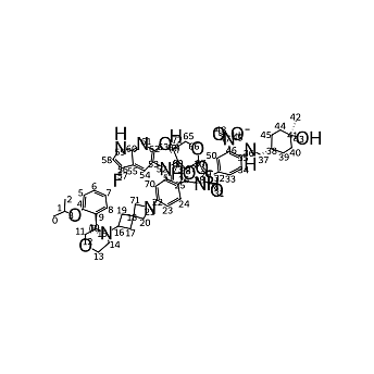 CC(C)Oc1ccccc1[C@@H]1COCCN1C1CC2(C1)CN(c1ccc(C(=O)NS(=O)(=O)c3ccc(NC[C@H]4CC[C@](C)(O)CC4)c([N+](=O)[O-])c3)c(N3c4cc5c(F)c[nH]c5nc4O[C@H]4COCC[C@@H]43)c1)C2